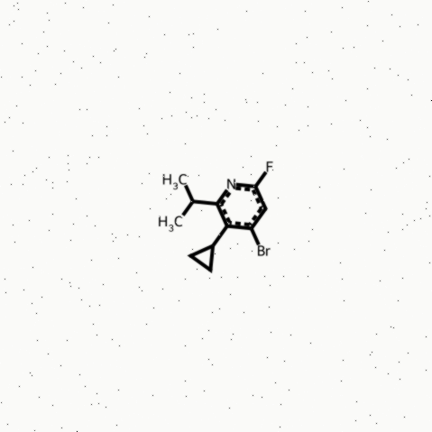 CC(C)c1nc(F)cc(Br)c1C1CC1